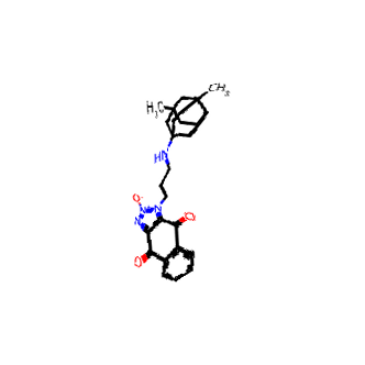 CC12CC3CC(C)(C1)CC(NCCCn1c4c(n[n+]1[O-])C(=O)c1ccccc1C4=O)(C3)C2